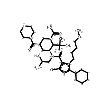 COCCCCn1c(C2CCCCC2)nc(Cl)c1C(=O)N(CC(C)C)[C@H]1C[C@@H](C(=O)N2CCOCC2)CN(C(=O)O)C1C(C)(C)C